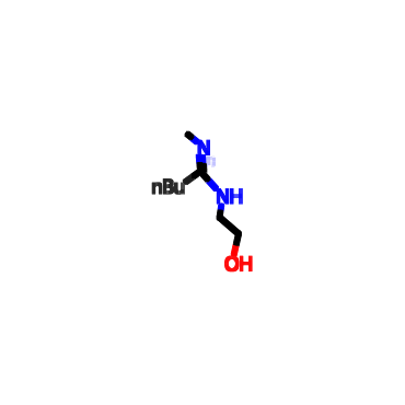 CCCC/C(=N\C)NCCO